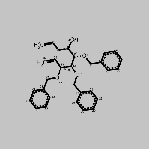 C=CCC(O)[C@H](OCc1ccccc1)[C@@H](OCc1ccccc1)[C@H](C=C)OCc1ccccc1